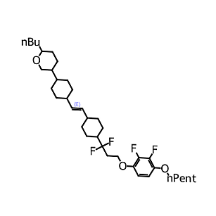 CCCCCOc1ccc(OCCC(F)(F)C2CCC(/C=C/C3CCC(C4CCC(CCCC)OC4)CC3)CC2)c(F)c1F